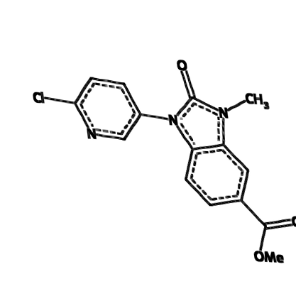 COC(=O)c1ccc2c(c1)n(C)c(=O)n2-c1ccc(Cl)nc1